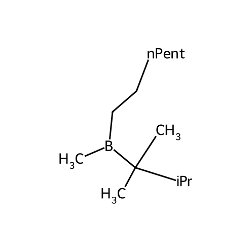 CCCCCCCB(C)C(C)(C)C(C)C